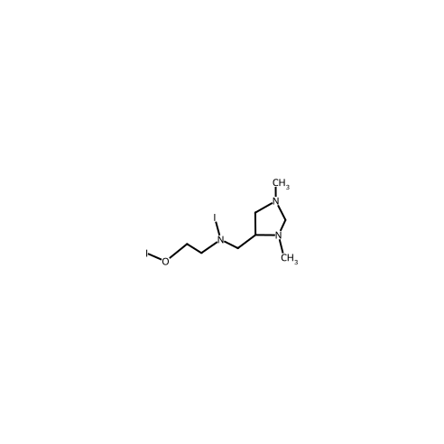 CN1CC(CN(I)CCOI)N(C)C1